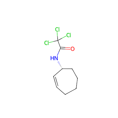 O=C(N[C@H]1C=CCCCC1)C(Cl)(Cl)Cl